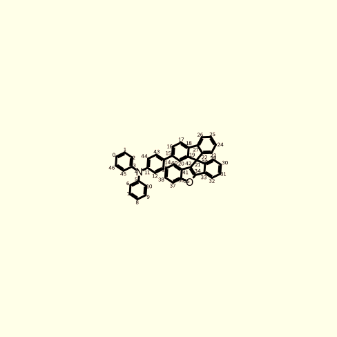 c1ccc(N(c2ccccc2)c2ccc(-c3ccc4c(c3)C3(c5ccccc5-4)c4ccccc4-c4oc5ccccc5c43)cc2)cc1